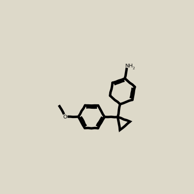 COc1ccc(C2(C3C=CC(N)=CC3)CC2)cc1